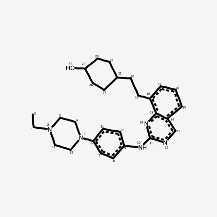 CCN1CCN(c2ccc(Nc3ncc4cccc(CCC5CCC(O)CC5)c4n3)cc2)CC1